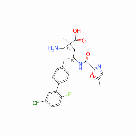 Cc1cnc(C(=O)N[C@H](Cc2ccc(-c3cc(Cl)ccc3F)cc2)C[C@@](C)(CN)C(=O)O)o1